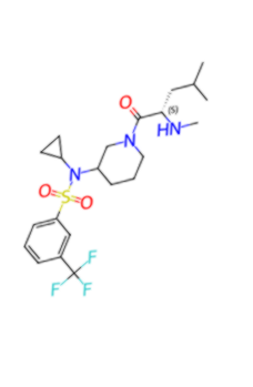 CN[C@@H](CC(C)C)C(=O)N1CCCC(N(C2CC2)S(=O)(=O)c2cccc(C(F)(F)F)c2)C1